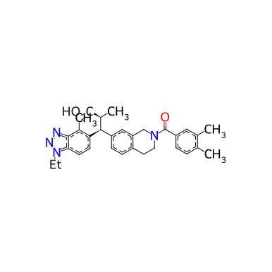 CCn1nnc2c(C)c([C@H](c3ccc4c(c3)CN(C(=O)c3ccc(C)c(C)c3)CC4)[C@H](C)C(=O)O)ccc21